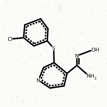 NC(=NO)c1ccncc1Sc1cccc(Cl)c1